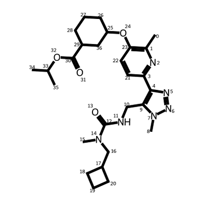 Cc1nc(-c2nnn(C)c2CNC(=O)N(C)CC2CCC2)ccc1OC1CCCC(C(=O)OC(C)C)C1